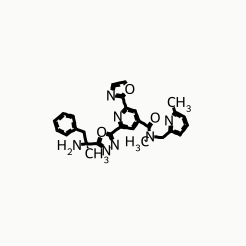 Cc1cccc(CN(C)C(=O)c2cc(-c3ncco3)nc(-c3nnc([C@@](C)(N)Cc4ccccc4)o3)c2)n1